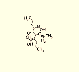 CCCC(=NO)C(OC)C(O[SiH2]C)C(CCC)=NO